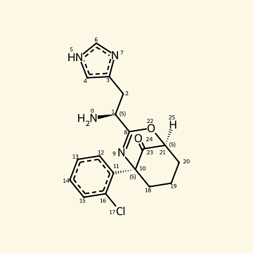 N[C@@H](Cc1c[nH]cn1)C1=N[C@]2(c3ccccc3Cl)CCC[C@H](O1)C2=O